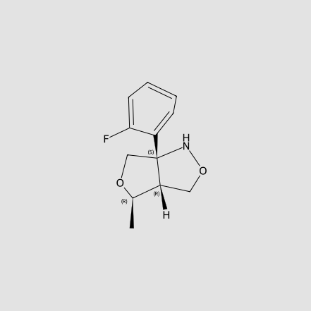 C[C@H]1OC[C@]2(c3ccccc3F)NOC[C@H]12